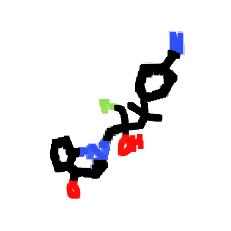 CC(C)(CC(O)(CF)Cn1ccc(=O)c2ccccc21)c1ccc(C#N)cc1